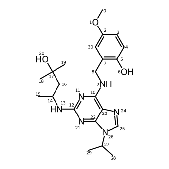 COc1ccc(O)c(CNc2nc(NC(C)CC(C)(C)O)nc3c2ncn3C(C)C)c1